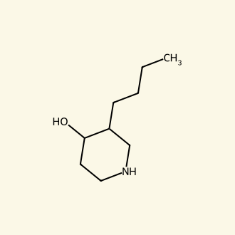 CCCCC1CNCCC1O